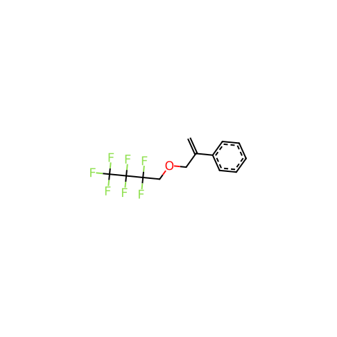 C=C(COCC(F)(F)C(F)(F)C(F)(F)F)c1ccccc1